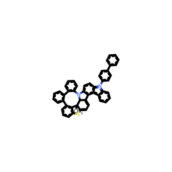 CC12C3=CC=C4c5c(ccc6c5c5ccccc5n6-c5ccc(-c6ccccc6)cc5)N(c5ccccc5-c5ccccc5-c5cccc(c51)S3)C42